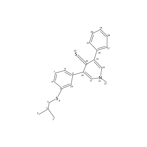 CC(C)CSc1cccc(-c2cn(C)cc(-c3ccccc3)c2=S)c1